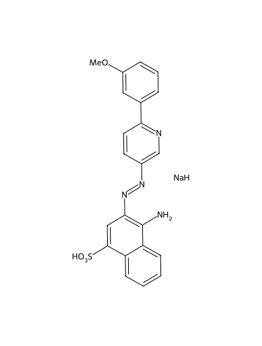 COc1cccc(-c2ccc(N=Nc3cc(S(=O)(=O)O)c4ccccc4c3N)cn2)c1.[NaH]